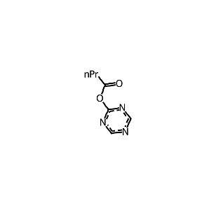 CCCC(=O)Oc1ncncn1